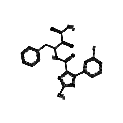 Cc1nc(-c2cccc(F)c2)c(C(=O)NC(Cc2ccccc2)C(=O)C(N)=O)o1